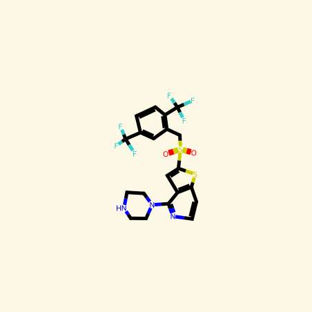 O=S(=O)(Cc1cc(C(F)(F)F)ccc1C(F)(F)F)c1cc2c(N3CCNCC3)nccc2s1